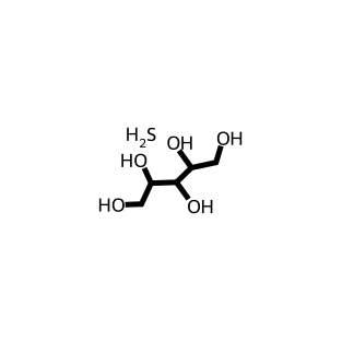 OCC(O)C(O)C(O)CO.S